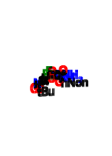 CCCCCCCCCC(=O)NC1(C(N)=O)CCN(S(=O)(=O)C(F)(F)Cc2c(C)cc(N(C)C(=O)OC(C)(C)C)cc2C)CC1